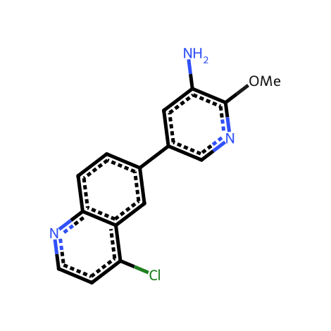 COc1ncc(-c2ccc3nccc(Cl)c3c2)cc1N